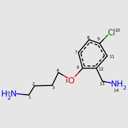 NCCCCOc1ccc(Cl)cc1CN